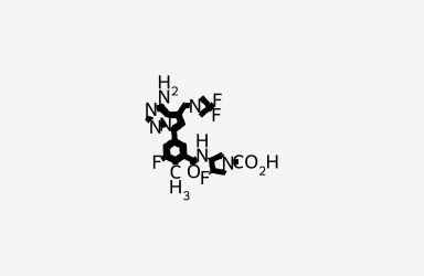 Cc1c(F)cc(-c2cc(CN3CC(F)(F)C3)c3c(N)ncnn23)cc1C(=O)N[C@@H]1CN(C(=O)O)C[C@@H]1F